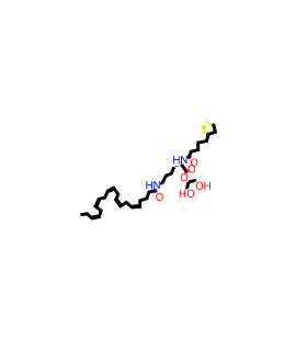 CC/C=C\C/C=C\C/C=C\C/C=C\C/C=C\CCCC(=O)NCCCC[C@H](NC(=O)CCCCC1CCSS1)C(=O)OC(CO)CO